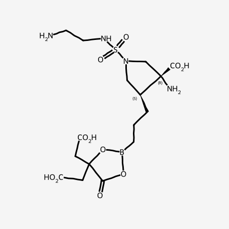 NCCNS(=O)(=O)N1C[C@H](CCCB2OC(=O)C(CC(=O)O)(CC(=O)O)O2)[C@](N)(C(=O)O)C1